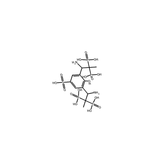 CC(C(N)c1cc(S(=O)(=O)O)cc(C(N)C(C)(P(=O)(O)O)P(=O)(O)O)c1O)(P(=O)(O)O)P(=O)(O)O